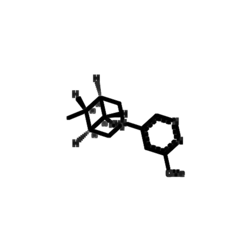 COc1cc(N2C[C@@H]3[C@@H](C)[C@H](C2)[C@H]3N)cnn1